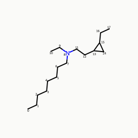 CCCCCCCCN(CC)CCC1CC1CC